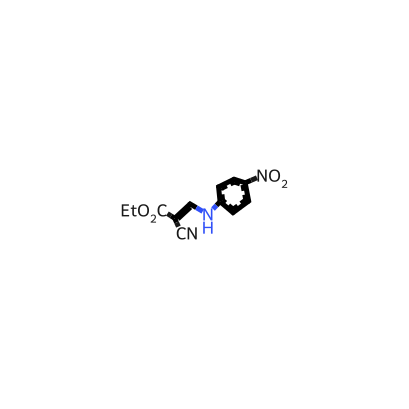 CCOC(=O)/C(C#N)=C/Nc1ccc([N+](=O)[O-])cc1